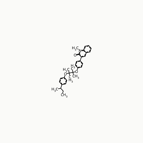 CCC(C)c1ccc(OC(C)(C)C(C)(C)Oc2ccc(-c3cc4ccccc4n(C)c3=O)cc2)cc1